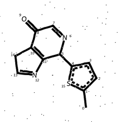 Cc1ccc(C2N=CC(=O)C3=C2N=CC3)s1